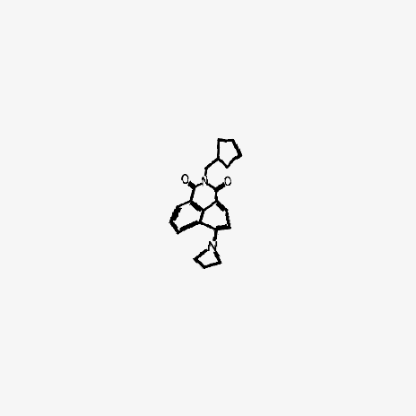 O=C1c2cccc3c(N4CCC4)ccc(c23)C(=O)N1CC1CCCC1